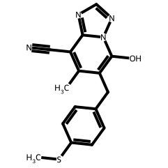 CSc1ccc(Cc2c(C)c(C#N)c3ncnn3c2O)cc1